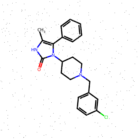 Cc1[nH]c(=O)n(C2CCN(Cc3cccc(Cl)c3)CC2)c1-c1ccccc1